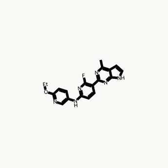 CCOc1ccc(Nc2ccc(-c3nc(C)c4[c]c[nH]c4n3)c(F)n2)cn1